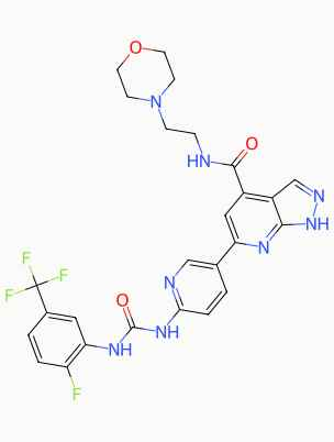 O=C(Nc1ccc(-c2cc(C(=O)NCCN3CCOCC3)c3cn[nH]c3n2)cn1)Nc1cc(C(F)(F)F)ccc1F